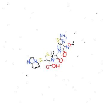 CCO/N=C(/C(=O)N[C@@H]1C(=O)N2C(C(=O)O)=C(CSc3cccc4nccn34)CS[C@H]12)c1csc(N)n1